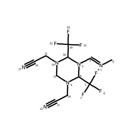 C/N=C/N1C(C(F)(F)F)N(CC#N)CN(CC#N)C1C(F)(F)F